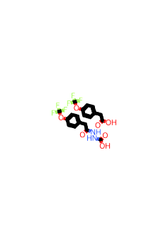 O=C(O)Cc1ccc(OC(F)(F)F)cc1.O=C(O)NNC(=O)Cc1ccc(OC(F)(F)F)cc1